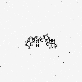 Cn1cncc1C(=O)Nc1cccc(OCC(O)CN2CCc3ccccc3C2)c1